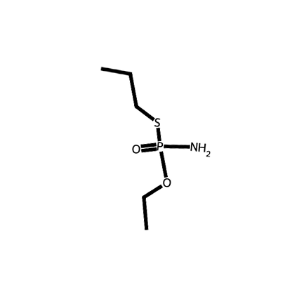 CCCSP(N)(=O)OCC